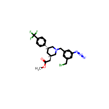 COC(=O)C[C@H]1C[C@H](c2ccc(C(F)(F)F)cc2)CN(Cc2cc(CBr)cc(N=[N+]=[N-])c2)C1